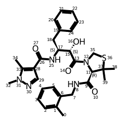 Cc1ccccc1CNC(=O)[C@H]1N(C(=O)[C@@H](O)[C@H](Cc2ccccc2)NC(=O)c2cnn(C)c2C)CSC1(C)C